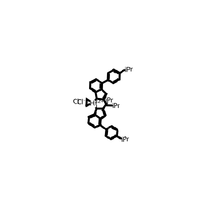 CC(C)CC1=Cc2c(-c3ccc(C(C)C)cc3)cccc2[CH]1[Hf+2]1([CH]2C(CC(C)C)=Cc3c(-c4ccc(C(C)C)cc4)cccc32)[CH2][CH2]1.[Cl-].[Cl-]